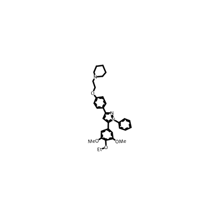 CCOc1c(OC)cc(-c2cc(-c3ccc(OCCN4CCCCC4)cc3)nn2-c2ccccc2)cc1OC